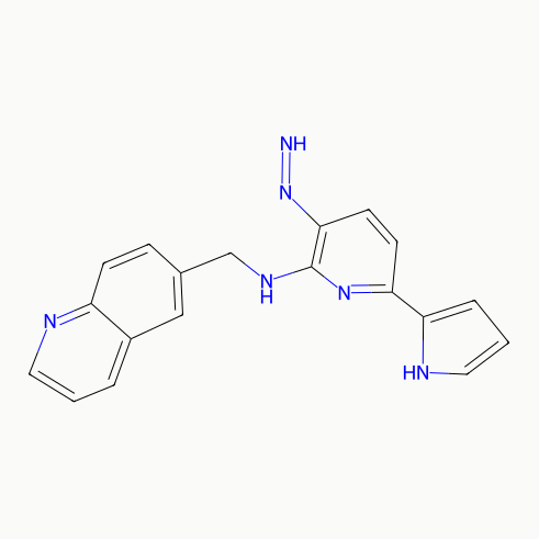 N=Nc1ccc(-c2ccc[nH]2)nc1NCc1ccc2ncccc2c1